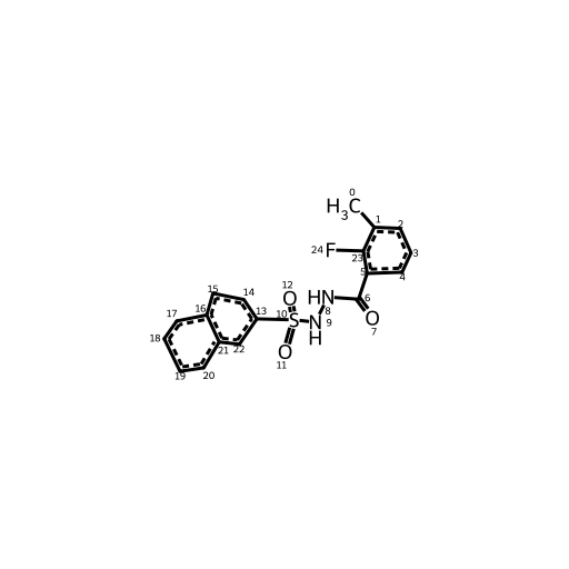 Cc1cccc(C(=O)NNS(=O)(=O)c2ccc3ccccc3c2)c1F